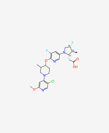 COc1cc(N2CCC(Oc3ncc(N4C[C@H](F)[C@@H](C)[C@@H]4CC(=O)O)cc3F)C(C)C2)c(Cl)cn1